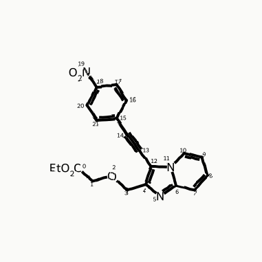 CCOC(=O)COCc1nc2ccccn2c1C#Cc1ccc([N+](=O)[O-])cc1